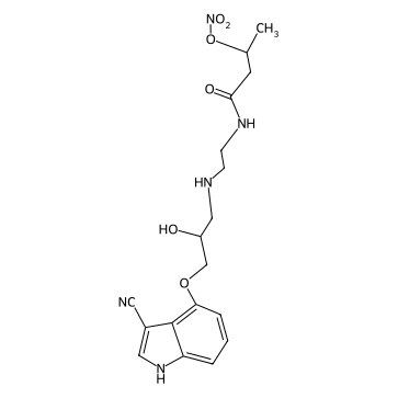 CC(CC(=O)NCCNCC(O)COc1cccc2[nH]cc(C#N)c12)O[N+](=O)[O-]